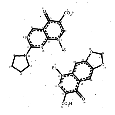 CCn1cc(C(=O)O)c(=O)c2cnc(N3CCCC3)nc21.CCn1nc(C(=O)O)c(=O)c2cc3c(cc21)OCO3